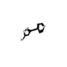 CC(C)C1CC(c2ccncc2)=NO1